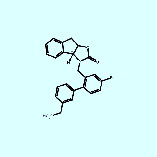 O=C(O)Cc1cccc(-c2ccc(Br)cc2CN2C(=O)OC3Cc4ccccc4[C@H]32)c1